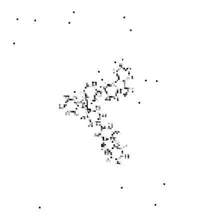 CC1(C)c2ccccc2-c2cc(-c3cccc(N(c4ccccc4)c4ccc(-c5ccc6c(c5)sc5ccccc56)cc4)c3)ccc21